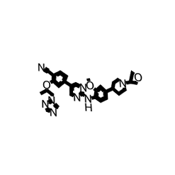 COc1cc(C2CCN(C3COC3)CC2)ccc1Nc1ncc(-c2ccc(C#N)c(OC(C)Cn3cncn3)c2)cn1